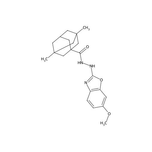 COc1ccc2nc(NNC(=O)C34CC5CC(C)(CC(C)(C5)C3)C4)oc2c1